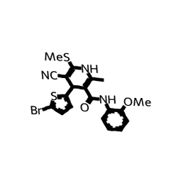 COc1ccccc1NC(=O)C1=C(C)NC(SC)=C(C#N)C1c1ccc(Br)s1